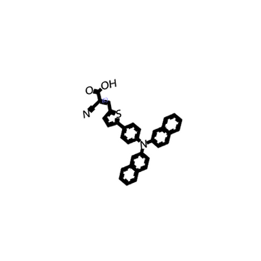 N#C/C(=C\c1ccc(-c2ccc(N(c3ccc4ccccc4c3)c3ccc4ccccc4c3)cc2)s1)C(=O)O